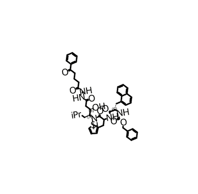 CC(C)C[C@H](NC(=O)C(Cc1cccs1)NC(=O)[C@H](Cc1cccc2ccccc12)NC(=O)OCc1ccccc1)[C@@H](O)CC(=O)NNC(=O)CCCC(=O)c1ccccc1